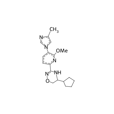 COc1nc(C2=NOCC(C3CCCC3)N2)ccc1-n1cnc(C)c1